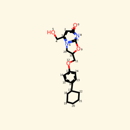 O=c1cc(CO)n2c(n1)OC(COc1ccc(C3CCCCC3)cc1)C2